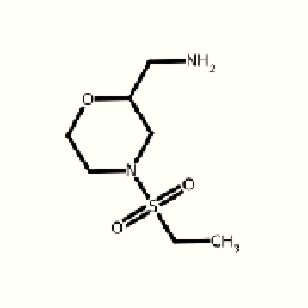 CCS(=O)(=O)N1CCOC(CN)C1